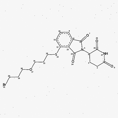 O=C1CCC(N2C(=O)c3cccc(SCCCOCCCBr)c3C2=O)C(=O)N1